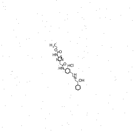 CCOC(=O)Nc1nc(CC(=O)Nc2ccc(CCNC[C@H](O)c3ccccc3)cc2)ns1.Cl